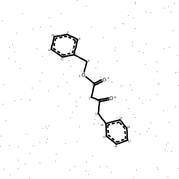 O=C(CC(=O)OCc1ccccc1)Cc1ccccc1